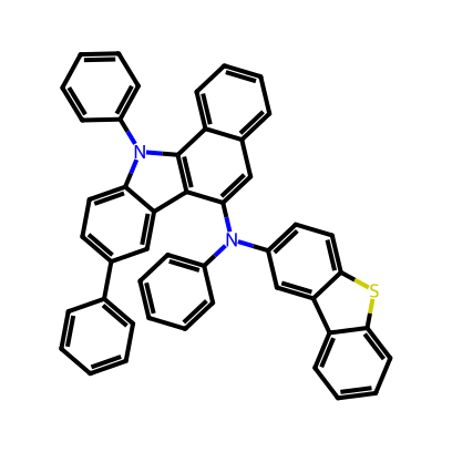 c1ccc(-c2ccc3c(c2)c2c(N(c4ccccc4)c4ccc5sc6ccccc6c5c4)cc4ccccc4c2n3-c2ccccc2)cc1